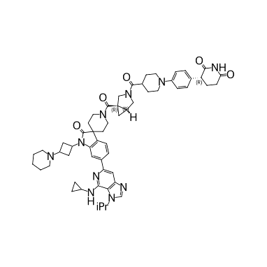 CC(C)n1cnc2cc(-c3ccc4c(c3)N(C3CC(N5CCCCC5)C3)C(=O)C43CCN(C(=O)[C@]45C[C@H]4CN(C(=O)C4CCN(c6ccc([C@H]7CCC(=O)NC7=O)cc6)CC4)C5)CC3)nc(NC3CC3)c21